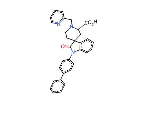 O=C(O)C1CC2(CCN1Cc1ccccn1)C(=O)N(c1ccc(-c3ccccc3)cc1)c1ccccc12